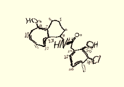 O=C(NC1CCCc2c(O)cccc21)c1cccc(Cl)c1O